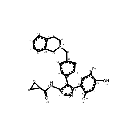 CC(C)c1cc(-c2noc(NC(=O)C3CC3)c2-c2ccc(CN3CCc4ccccc4C3)cc2)c(O)cc1O